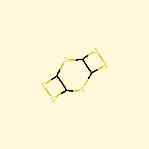 S1SC2SC3SSC3SC12